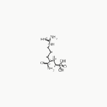 N=C(N)NCCCC(NCP(=O)(O)O)C(N)=O